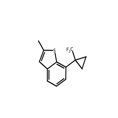 Cc1cc2cccc(C3(C(F)(F)F)CC3)c2s1